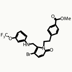 COC(=O)c1ccc(CCn2c(CNc3cccc(OC(F)(F)F)c3)c(Br)ccc2=O)cc1